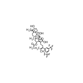 CC(=O)O[C@H]1C[C@@]2(C)[C@H](C[C@@H](O)[C@@H]3[C@@]4(C)CC[C@@H](O)[C@@H](C)C4CC[C@@]32C)C1=C(CCC(=C(C)C)c1cc(C(F)(F)F)cc(C(F)(F)F)c1)C(=O)O